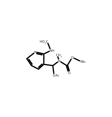 CC(=O)OC(c1cccnc1NC(=O)O)N(C)C(=O)OC(C)(C)C